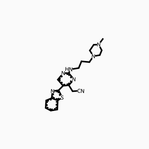 CN1CCN(CCCNc2ncc(-c3nc4ccccc4s3)c(CC#N)n2)CC1